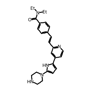 CCN(CC)C(=O)c1ccc(C=Cc2cc(-c3ccc(N4CCNCC4)[nH]3)ccn2)cc1